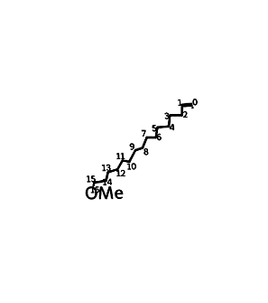 [CH]=CCCCCCCCCCCCCCCOC